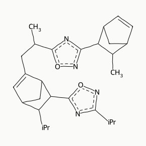 CC(C)c1noc(C2C3CC(C=C3CC(C)c3nc(C4C5C=CC(C5)C4C)no3)C2C(C)C)n1